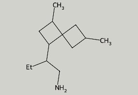 CCC(CN)C1CC(C)C12CC(C)C2